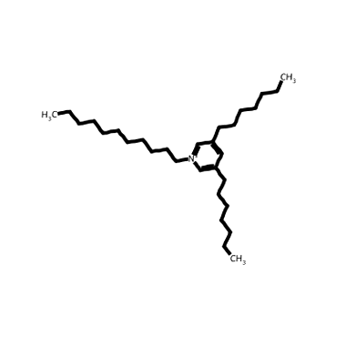 CCCCCCCCCCC[n+]1cc(CCCCCCC)cc(CCCCCCC)c1